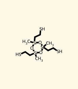 C[Si]1(CCS)O[Si](C)(CCS)O[Si](C)(CCS)O1